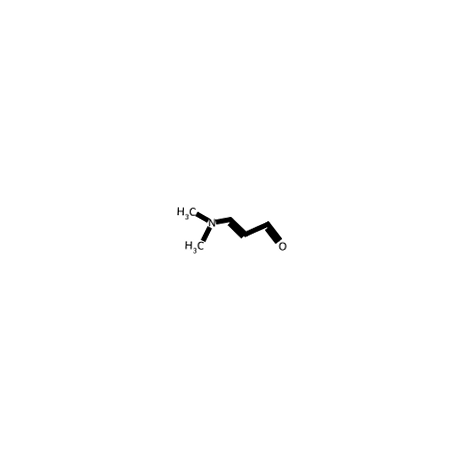 CN(C)C=C[C]=O